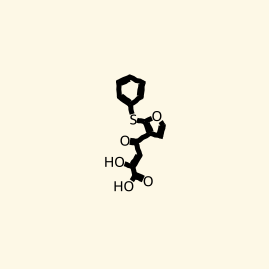 O=C(O)/C(O)=C/C(=O)c1ccoc1Sc1ccccc1